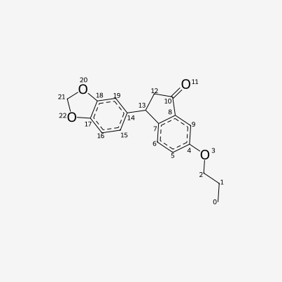 CCCOc1ccc2c(c1)C(=O)CC2c1ccc2c(c1)OCO2